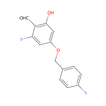 O=Cc1c(O)cc(OCc2ccc(I)cc2)cc1I